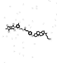 Cc1cc(OCOC(=O)/C=C/c2ccc(OC3CCC4(C)C(CCC5C4CCC4(C)C(C(C)CCCC(C)C)CCC54)C3)cc2)cc(N2C(=O)C3C4C(=O)N(C)C(=O)C4C3C2=O)c1